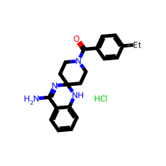 CCc1ccc(C(=O)N2CCC3(CC2)N=C(N)c2ccccc2N3)cc1.Cl